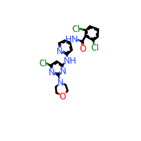 O=C(Nc1ccnc(Nc2cc(Cl)nc(N3CCOCC3)n2)c1)c1c(Cl)cccc1Cl